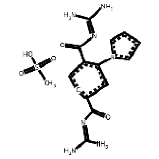 CS(=O)(=O)O.NC(N)=NC(=O)c1ccc(C(=O)N=C(N)N)c(-n2cccc2)c1